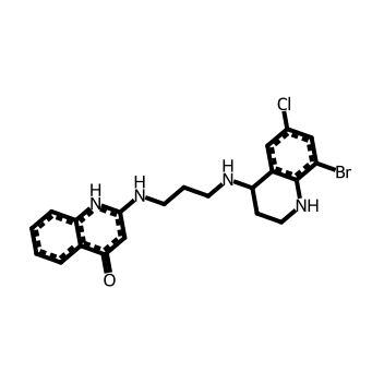 O=c1cc(NCCCNC2CCNc3c(Br)cc(Cl)cc32)[nH]c2ccccc12